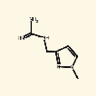 Cn1ccc(CNC(=N)N)n1